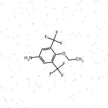 CCOc1c(C(F)(F)F)cc(N)cc1C(F)(F)F